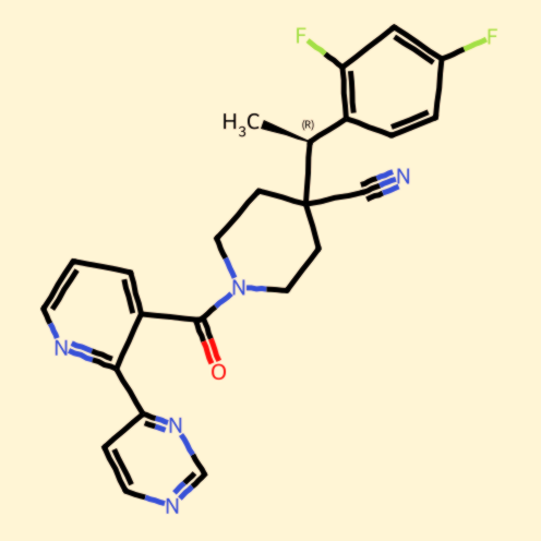 C[C@@H](c1ccc(F)cc1F)C1(C#N)CCN(C(=O)c2cccnc2-c2ccncn2)CC1